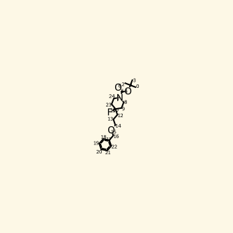 CC(C)(C)OC(=O)N1CCC(F)(CCCOCc2ccccc2)CC1